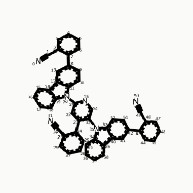 N#Cc1ccccc1-c1ccc2c(c1)c1ccccc1n2-c1cc(-c2ccccc2C#N)c(-n2c3ccccc3c3cc(-c4ccccc4C#N)ccc32)cn1